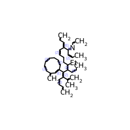 C=C\C=C/C(C(=C)C)=C(C(/C=C\C)=C(/CC)CC\C=C/C(=C\C=C)C(/C=C\C)=N\C=C)\C1=C\C(=C)/C=C\C=C/C\C=C/1